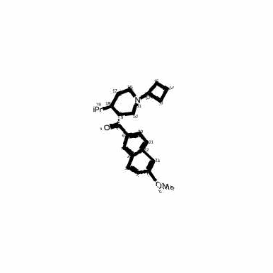 COc1ccc2cc(C(=O)[C@H]3CN(C4CCC4)CCC3C(C)C)ccc2c1